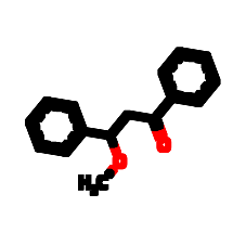 COC(CC(=O)c1ccccc1)c1ccccc1